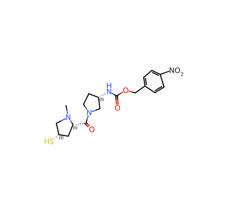 CN1C[C@@H](S)C[C@H]1C(=O)N1CC[C@H](NC(=O)OCc2ccc([N+](=O)[O-])cc2)C1